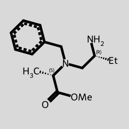 CC[C@@H](N)CN(Cc1ccccc1)[C@@H](C)C(=O)OC